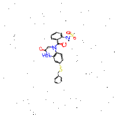 CN(c1ccccc1C(=O)N1CC(=O)Nc2cc(SCc3ccccc3)ccc21)S(C)(=O)=O